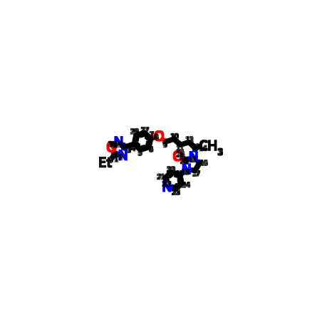 CCc1nc(-c2ccc(OCCCCC(C)N3CCN(c4ccncc4)C3=O)cc2)no1